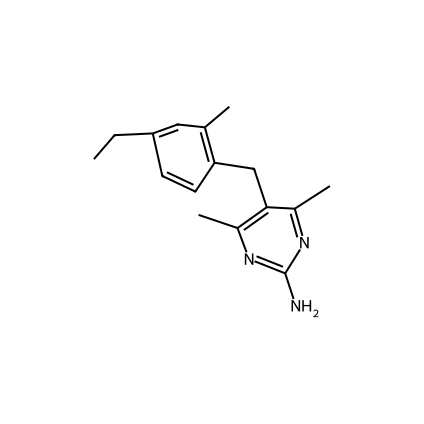 CCc1ccc(Cc2c(C)nc(N)nc2C)c(C)c1